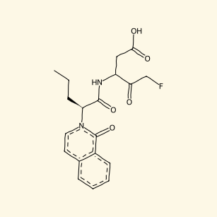 CCC[C@@H](C(=O)NC(CC(=O)O)C(=O)CF)n1ccc2ccccc2c1=O